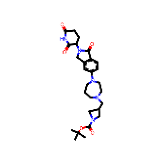 CC(C)(C)OC(=O)N1CC(CN2CCCN(c3ccc4c(c3)CN(C3CCC(=O)NC3=O)C4=O)CC2)C1